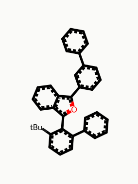 CC(C)(C)c1cccc(-c2ccccc2)c1-c1oc(-c2cccc(-c3ccccc3)c2)c2ccccc12